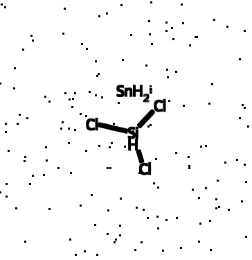 Cl[SiH](Cl)Cl.[SnH2]